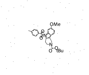 COc1ccc2c3c(n(S(=O)(=O)c4ccc(C)cc4)c2c1)CCN(C(=O)OC(C)(C)C)C3